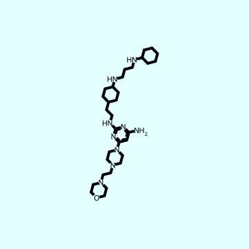 Nc1cc(N2CCN(CCN3CCOCC3)CC2)nc(NCCC2CCC(NCCCNC3CCCCC3)CC2)n1